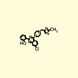 Cc1nc(CN2CCN(c3nc(-c4ccccc4O)nc4cc(Cl)ccc34)CC2)cs1